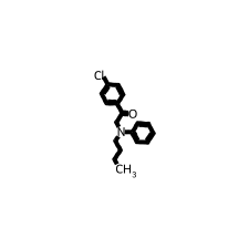 CCCCN(CC(=O)c1ccc(Cl)cc1)c1ccccc1